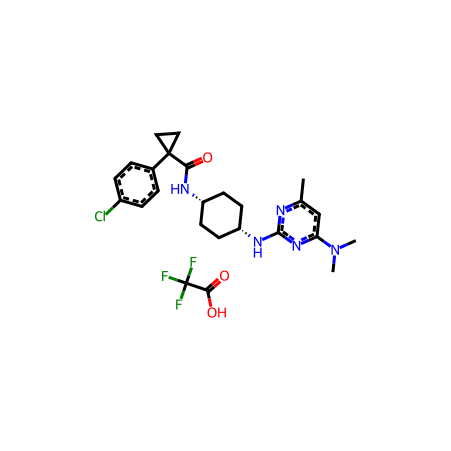 Cc1cc(N(C)C)nc(N[C@H]2CC[C@@H](NC(=O)C3(c4ccc(Cl)cc4)CC3)CC2)n1.O=C(O)C(F)(F)F